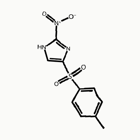 Cc1ccc(S(=O)(=O)c2c[nH]c([N+](=O)[O-])n2)cc1